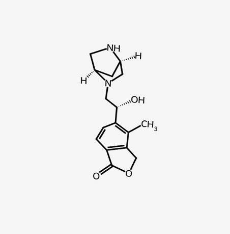 Cc1c([C@@H](O)CN2C[C@H]3C[C@@H]2CN3)ccc2c1COC2=O